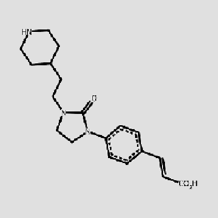 O=C(O)/C=C/c1ccc(N2CCN(CCC3CCNCC3)C2=O)cc1